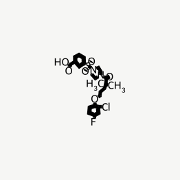 CC(C)(CCCOc1ccc(F)cc1Cl)C(=O)N1CCN(S(=O)(=O)c2cccc(C(=O)O)c2)CC1